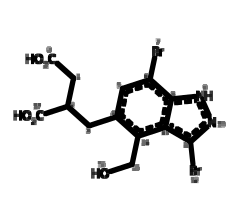 O=C(O)CC(Cc1cc(Br)c2[nH]nc(Br)c2c1CO)C(=O)O